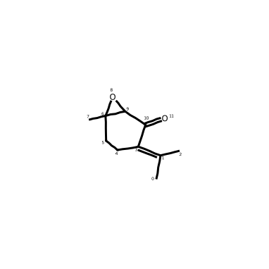 CC(C)=C1CCC2(C)OC2C1=O